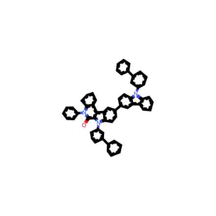 O=c1c2c(c3ccccc3n1-c1ccccc1)c1cc(-c3ccc4c(c3)c3ccccc3n4-c3cccc(-c4ccccc4)c3)ccc1n2-c1cccc(-c2ccccc2)c1